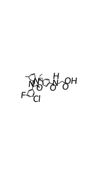 CC[C@H](c1ccc(C(=O)NCCC(=O)O)cc1)N1C(=O)C(c2cc(F)cc(Cl)c2)=NC12CC=CC(C)C2